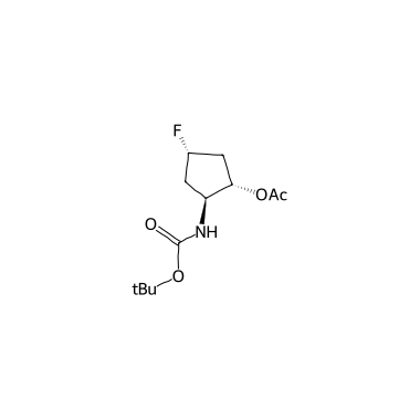 CC(=O)O[C@H]1C[C@@H](F)C[C@@H]1NC(=O)OC(C)(C)C